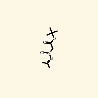 C/C(I)=N\N(Cl)CC(=O)OC(C)(C)C